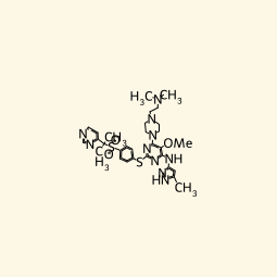 COc1c(Nc2cc(C)[nH]n2)nc(Sc2ccc(S(=O)(=O)C(C)(C)c3ccncn3)cc2)nc1N1CCN(CCN(C)C)CC1